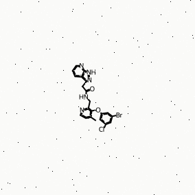 Cc1ccnc(CNC(=O)Cc2n[nH]c3ncccc23)c1Oc1cc(Cl)cc(Br)c1